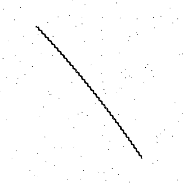 CCCCCCCCCCCCCCCCCCCCCCCCCCCCCCCCCCCCCCCCCCCCCCCCCCCCCCCCCCCCCCCCCCCCCCCCCCC